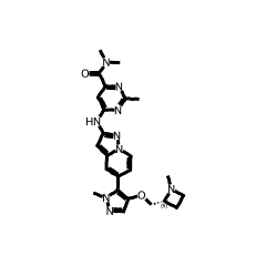 Cc1nc(Nc2cc3cc(-c4c(OC[C@H]5CCN5C)cnn4C)ccn3n2)cc(C(=O)N(C)C)n1